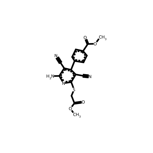 COC(=O)CSc1nc(N)c(C#N)c(-c2ccc(C(=O)OC)cc2)c1C#N